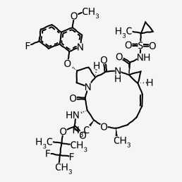 COc1cnc(O[C@@H]2C[C@H]3C(=O)N[C@]4(C(=O)NS(=O)(=O)C5(C)CC5)C[C@H]4/C=C\CC[C@@H](C)O[C@@H](C)[C@H](NC(=O)OC(C)(C)C(C)(F)F)C(=O)N3C2)c2cc(F)ccc12